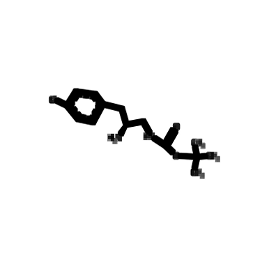 CC(C)(C)OC(=O)NC[C@@H](N)Cc1ccc(Cl)cc1